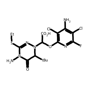 CCSC1=NN(C(Oc2nc(F)c(Cl)c(N)c2Cl)C(=O)O)C(C(C)(C)C)C(=O)N1N